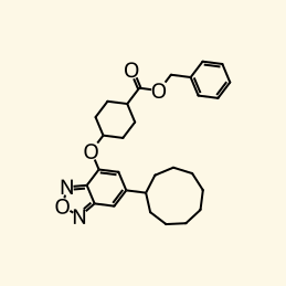 O=C(OCc1ccccc1)C1CCC(Oc2cc(C3CCCCCCCC3)cc3nonc23)CC1